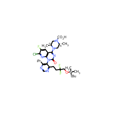 CC(C)c1ncnc(CCC(F)(F)CO[Si](C)(C)C(C)(C)C)c1-n1c(=O)nc(N2C[C@@H](C)N(C(=O)O)C[C@@H]2C)c2cc(F)c(Cl)nc21